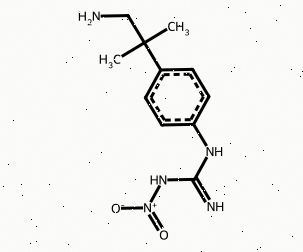 CC(C)(CN)c1ccc(NC(=N)N[N+](=O)[O-])cc1